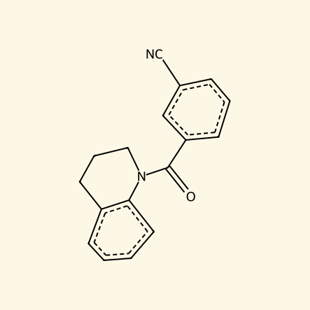 N#Cc1cccc(C(=O)N2CCCc3ccccc32)c1